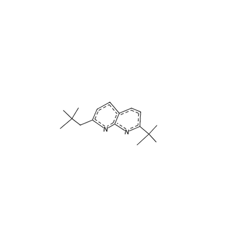 CC(C)(C)Cc1ccc2ccc(C(C)(C)C)nc2n1